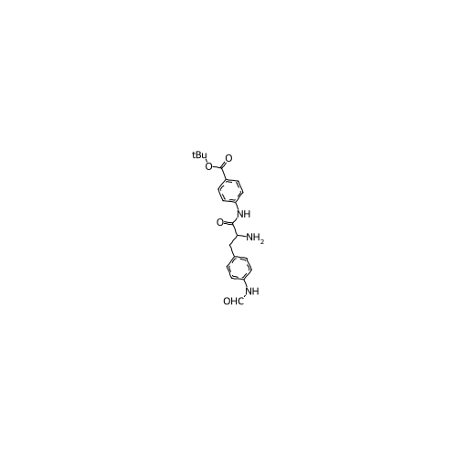 CC(C)(C)OC(=O)c1ccc(NC(=O)C(N)Cc2ccc(NC=O)cc2)cc1